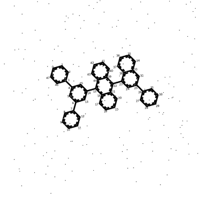 c1ccc(-c2cc(-c3ccccc3)cc(-c3c4ccccc4c(-c4cc(-c5ccccc5)cc5ccccc45)c4ccccc34)c2)cc1